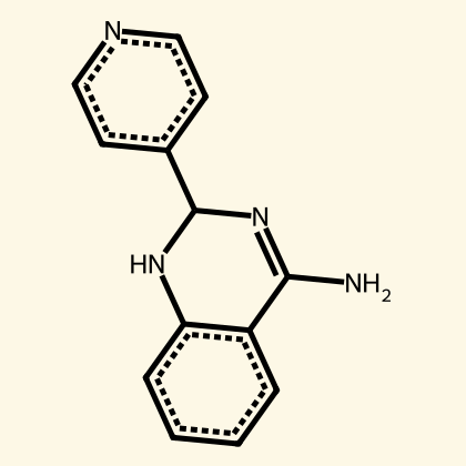 NC1=NC(c2ccncc2)Nc2ccccc21